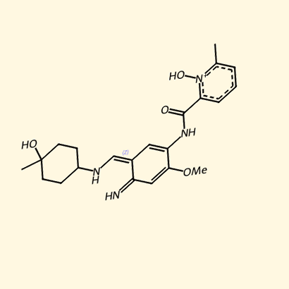 COC1=CC(=N)/C(=C\NC2CCC(C)(O)CC2)C=C1NC(=O)c1cccc(C)[n+]1O